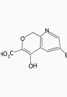 O=C(O)C1=C(O)c2cc(Br)cnc2CO1